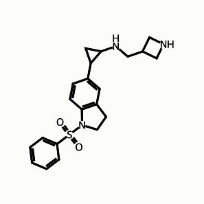 O=S(=O)(c1ccccc1)N1CCc2cc(C3CC3NCC3CNC3)ccc21